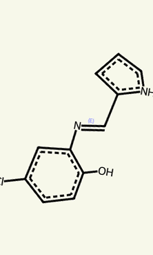 Oc1ccc(Cl)cc1/N=C/c1ccc[nH]1